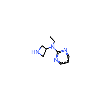 CCN(c1ncccn1)C1CNC1